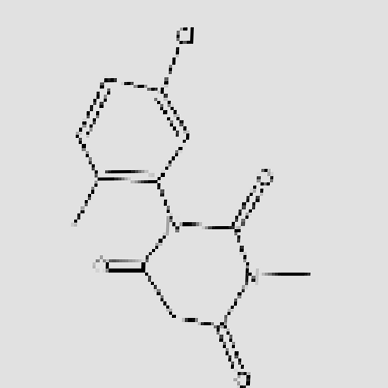 Cc1ccc(Cl)cc1N1C(=O)CC(=O)N(C)C1=O